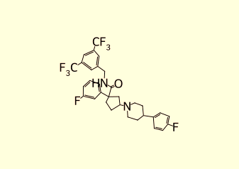 O=C(NCc1cc(C(F)(F)F)cc(C(F)(F)F)c1)C1(c2cccc(F)c2)CCC(N2CCC(c3ccc(F)cc3)CC2)C1